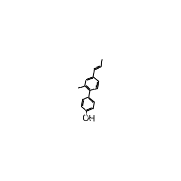 CC=Cc1ccc(-c2ccc(O)cc2)c(C)c1